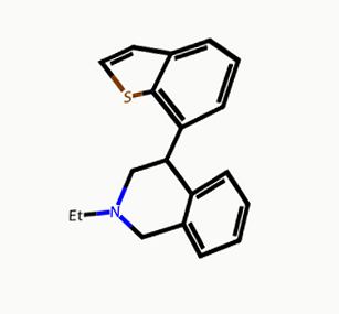 CCN1Cc2ccccc2C(c2cccc3ccsc23)C1